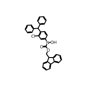 O=C(OCC1c2ccccc2-c2ccccc21)N(O)c1ccc([C](c2ccccc2)c2ccccc2)c(Cl)c1